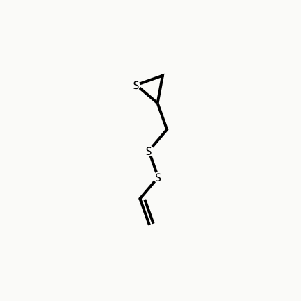 C=CSSCC1CS1